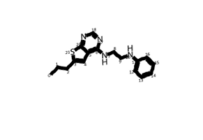 CCCc1cc2c(NCCNc3ccccc3)ncnc2s1